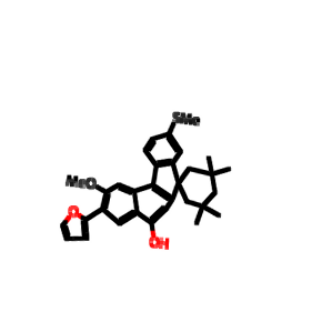 COc1cc2c3c(cc(O)c2cc1-c1ccco1)C1(CC(C)(C)CC(C)(C)C1)c1cc(SC)ccc1-3